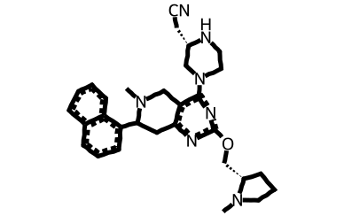 CN1Cc2c(nc(OC[C@@H]3CCCN3C)nc2N2CCN[C@@H](CC#N)C2)CC1c1cccc2ccccc12